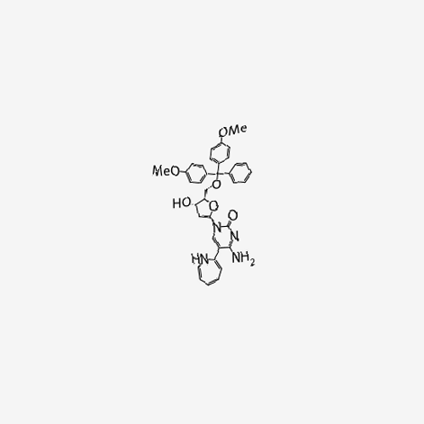 COc1ccc(C(OC[C@H]2O[C@@H](n3cc(C4=CC=CC=CN4)c(N)nc3=O)C[C@@H]2O)(c2ccccc2)c2ccc(OC)cc2)cc1